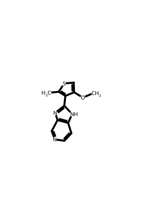 COc1csc(C)c1-c1nc2cnccc2[nH]1